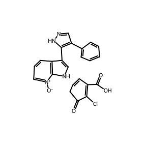 O=C(O)C1=C(Cl)C(=O)CC=C1.[O-][n+]1cccc2c(-c3[nH]ncc3-c3ccccc3)c[nH]c21